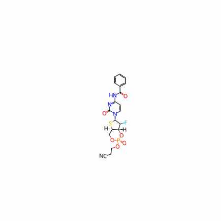 N#CCCOP1(=O)OC[C@H]2S[C@@H](n3ccc(NC(=O)c4ccccc4)nc3=O)[C@@H](F)[C@@H]2O1